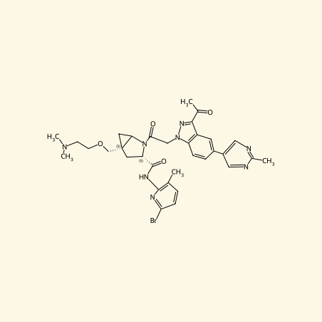 CC(=O)c1nn(CC(=O)N2C3C[C@]3(COCCN(C)C)C[C@H]2C(=O)Nc2nc(Br)ccc2C)c2ccc(-c3cnc(C)nc3)cc12